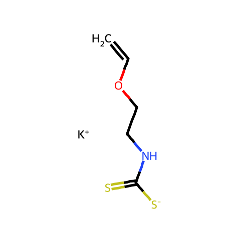 C=COCCNC(=S)[S-].[K+]